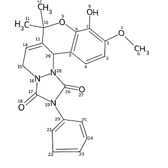 COc1ccc2c(c1O)OC(C)(C)C1=CCn3c(=O)n(-c4ccccc4)c(=O)n3C12